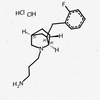 Cl.Cl.NCCCN1C[C@H]2CC[C@@H]1[C@@H](Cc1ccccc1F)C2